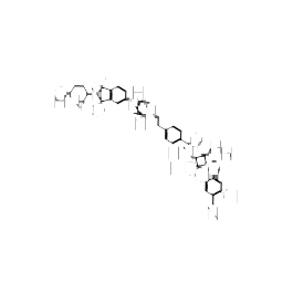 CC1(C)C(NC(=O)c2ccc(CCN3C[C@@H]4C[C@H]3CN4c3ccc4c(c3)C(=O)N(C3CCC(=O)NC3=O)C4=O)cc2)C(C)(C)C1Oc1ccc(C#N)c(Cl)c1